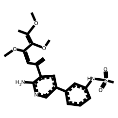 C=C(/C=C(OC)\C(OC)=C(/C)OC)c1cc(-c2cccc(NS(C)(=O)=O)c2)cnc1N